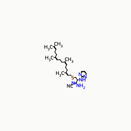 CC(C)=CCCC(C)=CCCC(C)=CCCC(C)=CCSCC(Nc1ncccn1)/C(N)=N/C#N